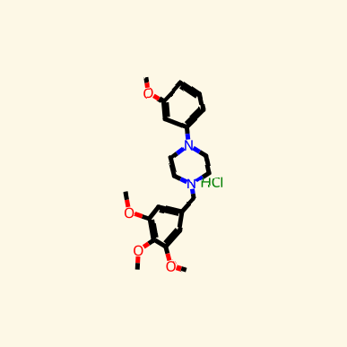 COc1cccc(N2CCN(Cc3cc(OC)c(OC)c(OC)c3)CC2)c1.Cl